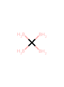 BC(B)(B)B